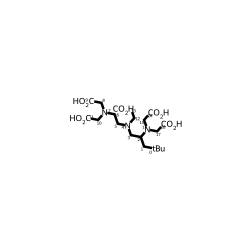 CC(C)(C)CC(CN(CCN(CC(=O)O)CC(=O)O)CC(=O)O)N(CC(=O)O)CC(=O)O